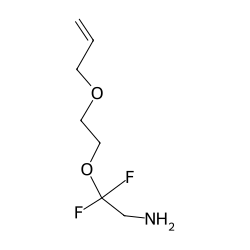 C=CCOCCOC(F)(F)CN